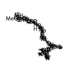 COC(=O)[C@H](CCC(C)(C)C)NC(=O)c1ccc(Oc2cccc(OCC(=O)NCCOC3CCN(C(=O)COCc4cn(CCCCOCc5nn(COCC[Si](C)(C)C)c(C)c5-c5ccc(NC(=O)[C@@H](NC(=O)c6ccnn6C)C(C6CC6)C6CC6)cc5)nn4)CC3)c2)nc1